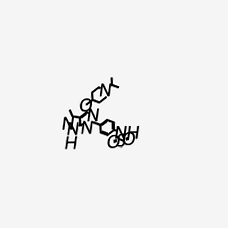 Cc1n[nH]c2nc(-c3ccc(NS(C)(=O)=O)cc3)nc(OC3CCN(C(C)C)CC3)c12